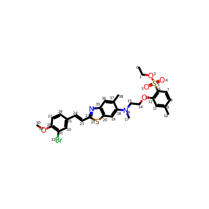 CCOS(=O)(=O)c1ccc(C)cc1OCCN(C)c1cc2sc(C=Cc3ccc(OC)c(Br)c3)nc2cc1C